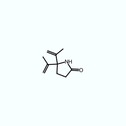 C=C(C)C1(C(=C)C)CCC(=O)N1